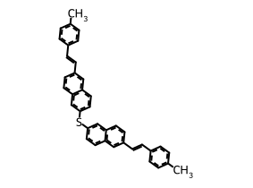 Cc1ccc(/C=C/c2ccc3cc(Sc4ccc5cc(/C=C/c6ccc(C)cc6)ccc5c4)ccc3c2)cc1